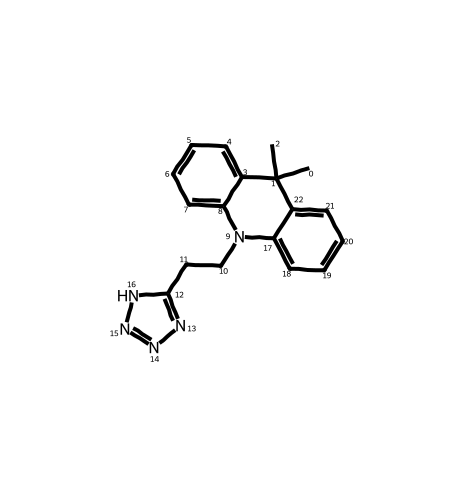 CC1(C)c2ccccc2N(CCc2nnn[nH]2)c2ccccc21